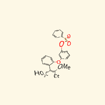 CCC(OC)=C(C(=O)O)c1ccccc1Oc1cccc(OS(=O)(=O)c2ccccc2)c1